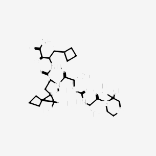 CC(C)[C@H](NC(=O)N[C@H](C(=O)N1C[C@]2(C[C@H]1C(=O)NC(CC1CCC1)C(=O)C(N)=O)C(C)(C)C21CCC1)C(C)(C)C)C(=O)N1CCOCC1(C)C